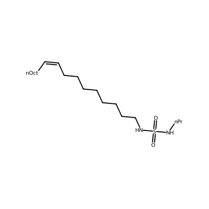 CCCCCCCC/C=C\CCCCCCCCNS(=O)(=O)NCCC